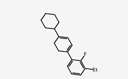 CCc1cccc(C2=CC=C(C3CCCCC3)CC2)c1F